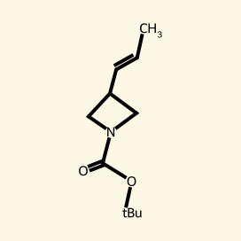 CC=CC1CN(C(=O)OC(C)(C)C)C1